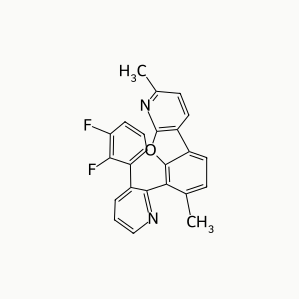 Cc1ccc2c(n1)oc1c(-c3ncccc3-c3cccc(F)c3F)c(C)ccc12